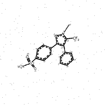 Cn1nc(-c2ccc(S(N)(=O)=O)cc2)c(-c2ccccc2)c1C(F)(F)F